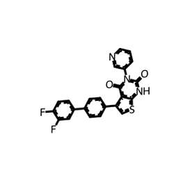 O=c1[nH]c2scc(-c3ccc(-c4ccc(F)c(F)c4)cc3)c2c(=O)n1-c1cccnc1